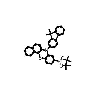 CC1(C)c2ccccc2-c2ccc(N3c4cc(B5OC(C)(C)C(C)(C)O5)ccc4Sc4c3ccc3ccccc43)cc21